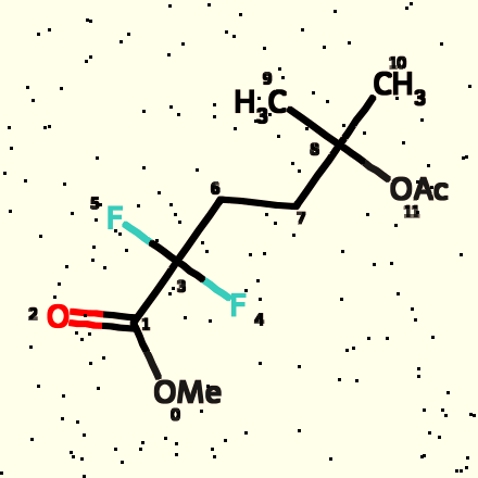 COC(=O)C(F)(F)CCC(C)(C)OC(C)=O